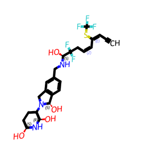 C#C/C=C(\C=C/CC(F)(F)[C@H](O)NCc1ccc2c(c1)CN(C1CC[C@H](O)N[C@@H]1O)[C@H]2O)SC(F)(F)F